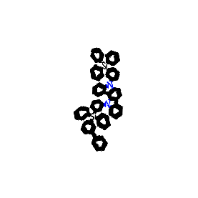 c1ccc(-c2cccc([Si](c3ccccc3)(c3ccccc3)c3cccc(-n4c5ccccc5c5ccc6c(c7ccccc7n6-c6cccc([Si](c7ccccc7)(c7ccccc7)c7ccccc7)c6)c54)c3)c2)cc1